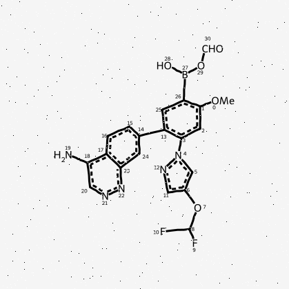 COc1cc(-n2cc(OC(F)F)cn2)c(-c2ccc3c(N)cnnc3c2)cc1B(O)OC=O